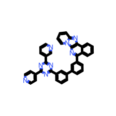 c1cncc(-c2nc(-c3ccncc3)nc(-c3cccc(-c4cccc(-c5nc6c(nc7ccccn76)c6ccccc56)c4)c3)n2)c1